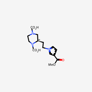 COC(=O)c1ccn(CC[C@@H]2CN(C(=O)O)CCN2C(=O)O)c1